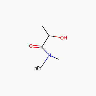 CCCN(C)C(=O)C(C)O